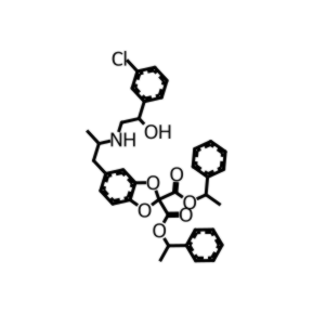 CC(Cc1ccc2c(c1)OC(C(=O)OC(C)c1ccccc1)(C(=O)OC(C)c1ccccc1)O2)NCC(O)c1cccc(Cl)c1